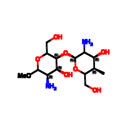 COC1OC(CO)[C@@H](O[C@@H]2OC(CO)[C@H](C)[C@H](O)C2N)[C@@H](O)[C@H]1N